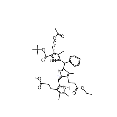 CCOC(=O)CCC1=C(C)C(C(c2ccccc2)c2[nH]c(C(=O)OC(C)(C)C)c(CCOC(C)=O)c2C)=N/C1=C/c1[nH]c(C)c(C)c1CCC(=O)OC